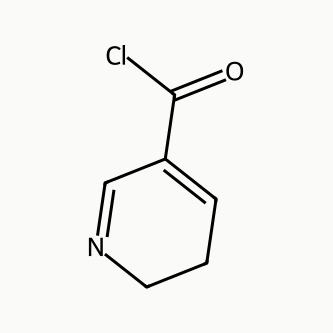 O=C(Cl)C1=CCCN=C1